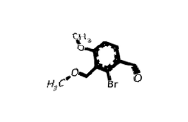 COCc1c(OC)ccc(C=O)c1Br